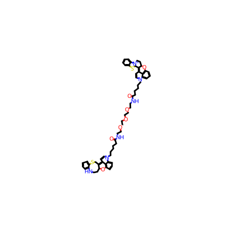 O=C(CCCCCN1C=CC2=C3CSc4ccccc4NCCC3Oc3cccc1c32)NCCOCCOCCOCCNC(=O)CCCCCN1C=CC2=C3c4sc5ccccc5[n+]4CCC3Oc3cccc1c32